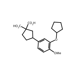 COc1ccc(C2CCC(C(=O)O)(C(=O)O)C2)cc1OC1CCCC1